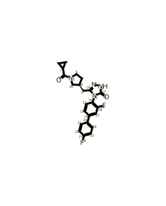 O=C(C1CC1)N1CC[C@@H](Cc2n[nH]c(=O)n2-c2ccc(-c3ccc(F)cc3)cc2F)C1